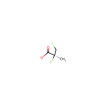 C[C@@](F)(CF)C([O])=O